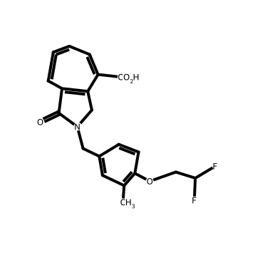 Cc1cc(CN2CC3=C(C=C=CC=C3C(=O)O)C2=O)ccc1OCC(F)F